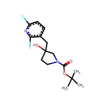 CC(C)(C)OC(=O)N1CCC(O)(Cc2ccc(F)nc2F)C1